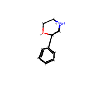 [c]1cccc(C2CNCCO2)c1